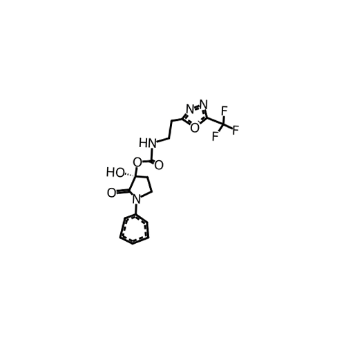 O=C(NCCc1nnc(C(F)(F)F)o1)O[C@@]1(O)CCN(c2ccccc2)C1=O